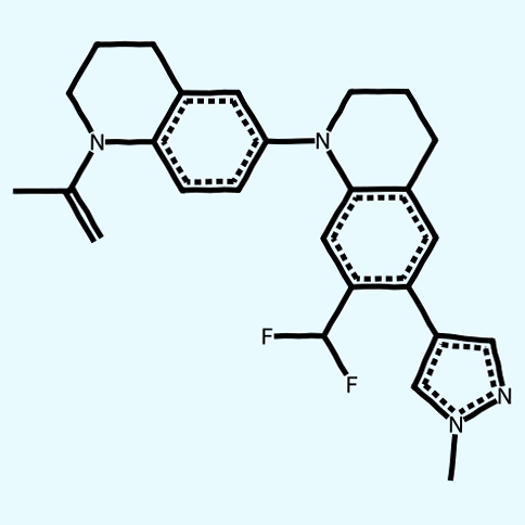 C=C(C)N1CCCc2cc(N3CCCc4cc(-c5cnn(C)c5)c(C(F)F)cc43)ccc21